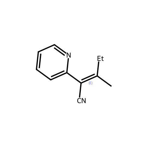 CC/C(C)=C(/C#N)c1ccccn1